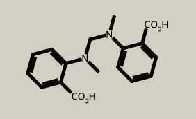 CN(CN(C)c1ccccc1C(=O)O)c1ccccc1C(=O)O